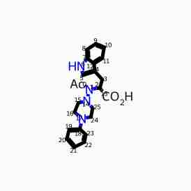 CC(=O)N(C(Cc1c[nH]c2ccccc12)C(=O)O)N1CCN(c2ccccc2)CC1